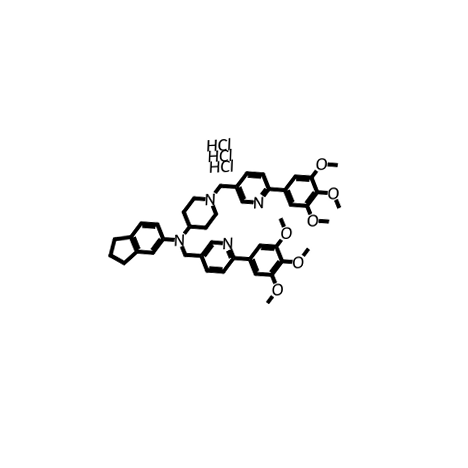 COc1cc(-c2ccc(CN3CCC(N(Cc4ccc(-c5cc(OC)c(OC)c(OC)c5)nc4)c4ccc5c(c4)CCC5)CC3)cn2)cc(OC)c1OC.Cl.Cl.Cl